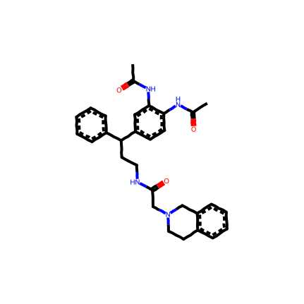 CC(=O)Nc1ccc(C(CCNC(=O)CN2CCc3ccccc3C2)c2ccccc2)cc1NC(C)=O